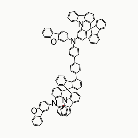 c1ccc(N(c2ccc3oc4ccccc4c3c2)c2cccc3c2-n2c4ccccc4c4cccc(c42)C32c3ccccc3-c3c(-c4ccc(-c5ccc(N(c6ccc7c(c6)-n6c8ccccc8c8cccc(c86)C76c7ccccc7-c7ccccc76)c6ccc7c(c6)oc6ccccc67)cc5)cc4)cccc32)cc1